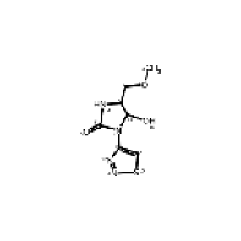 COCC1NC(=O)N(c2csnn2)C1O